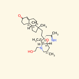 CC(=N)C[C@]1(CCC2(C)CC[C@H]3C2CCC2=CC(=O)CC[C@@]23C)O[C@@H]2C[C@H](C)CN(CCO)[C@H]2[C@H]1C